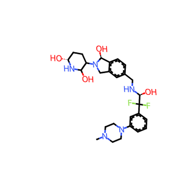 CN1CCN(c2cccc(C(F)(F)[C@H](O)NCc3ccc4c(c3)CN(C3CC[C@@H](O)NC3O)[C@H]4O)c2)CC1